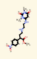 COC(=O)C(CCNCCNc1cc(=O)n(C)c(=O)n1C)c1ccc([N+](=O)[O-])cc1